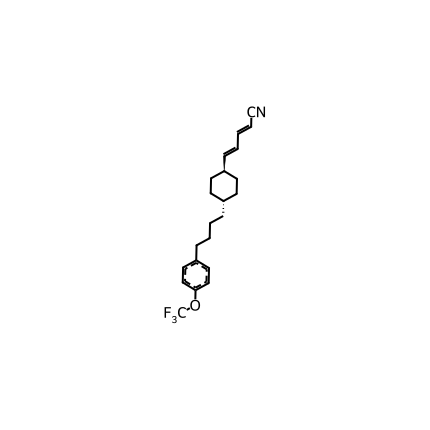 N#CC=CC=C[C@H]1CC[C@H](CCCCc2ccc(OC(F)(F)F)cc2)CC1